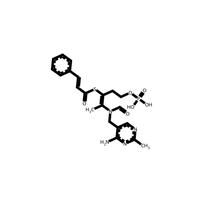 CC(=C(CCOP(=O)(O)O)SC(=O)C=Cc1ccccc1)N(C=O)Cc1cnc(C)nc1N